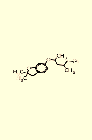 CC(C)CC(C)CC(C)Oc1ccc2c(c1)OC(C)(C)C2